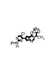 CC(C)Nc1ncc(Cl)c(-c2cc3c(=O)n(C(C)C(=O)OC(C)(C)C)cnn3c2)n1